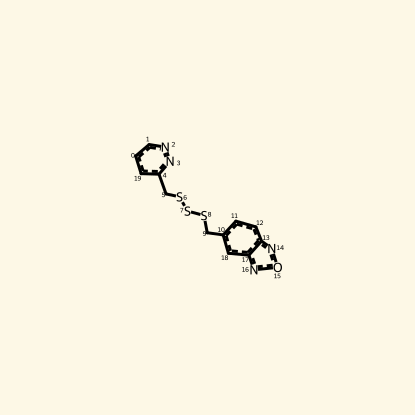 c1cnnc(CSSSCc2ccc3nonc3c2)c1